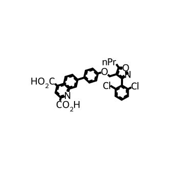 CCCc1onc(-c2c(Cl)cccc2Cl)c1COc1ccc(-c2ccc3c(C(=O)O)cc(C(=O)O)nc3c2)cc1